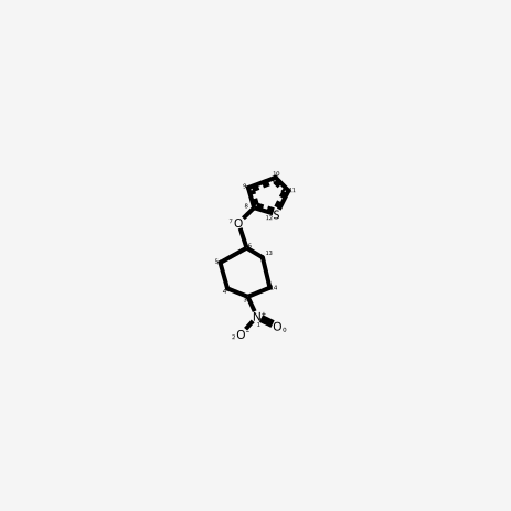 O=[N+]([O-])C1CCC(Oc2cccs2)CC1